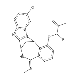 C=C(C)C(F)Oc1cccc2c1C1CC(N/C2=N\C)c2nc3ccc(Cl)cc3n21